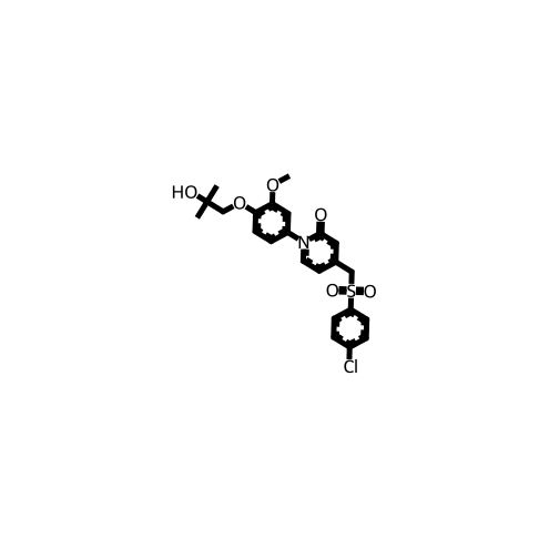 COc1cc(-n2ccc(CS(=O)(=O)c3ccc(Cl)cc3)cc2=O)ccc1OCC(C)(C)O